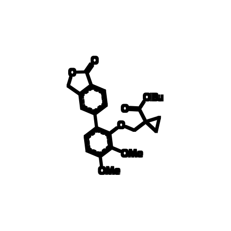 COc1ccc(-c2ccc3c(c2)COC3=O)c(OCC2(C(=O)OCC(C)C)CC2)c1OC